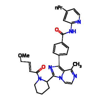 CCCc1ccnc(NC(=O)c2ccc(-c3nc(C4CCCCN4C(=O)C=CCOC)n4ccnc(C)c34)cc2)c1